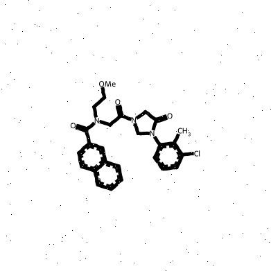 COCCN(CC(=O)N1CC(=O)N(c2cccc(Cl)c2C)C1)C(=O)c1ccc2ccccc2c1